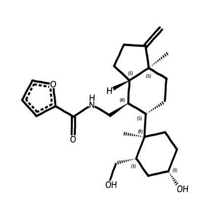 C=C1CC[C@H]2[C@H](CNC(=O)c3ccco3)[C@@H]([C@@]3(C)CC[C@H](O)C[C@@H]3CO)CC[C@]12C